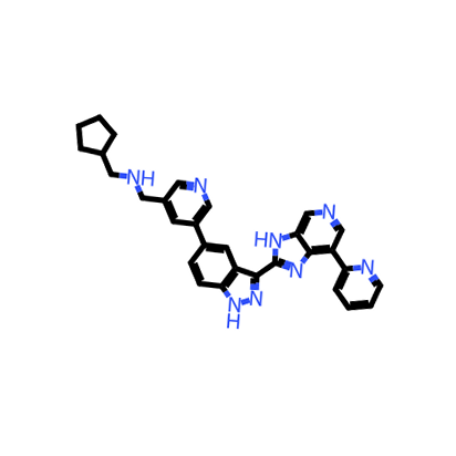 c1ccc(-c2cncc3[nH]c(-c4n[nH]c5ccc(-c6cncc(CNCC7CCCC7)c6)cc45)nc23)nc1